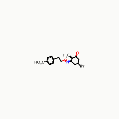 C=C1C(=O)CC(C(C)C)C/C1=N/OCCc1ccc(C(=O)O)cc1